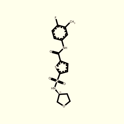 Cc1cc(NC(=O)c2ccc(S(=O)(=O)N[C@H]3CCOC3)s2)ccc1F